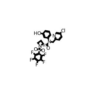 O=C([C@H]1CCN1S(=O)(=O)c1c(F)c(F)c(F)c(F)c1F)N(Cc1ccc(Cl)cn1)c1cccc(O)c1